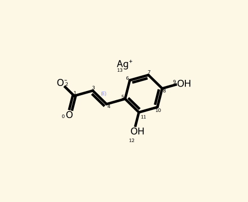 O=C([O-])/C=C/c1ccc(O)cc1O.[Ag+]